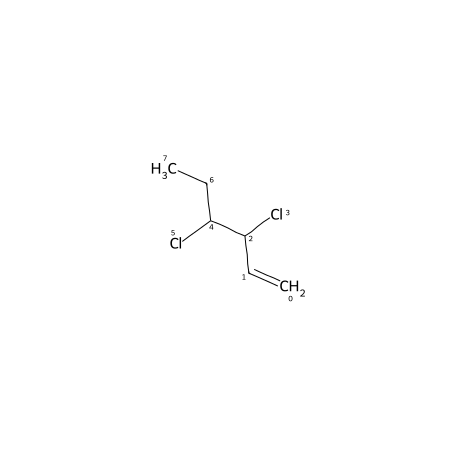 C=CC(Cl)C(Cl)CC